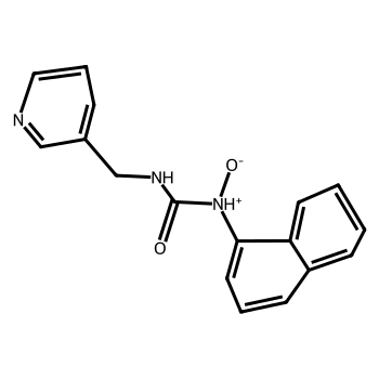 O=C(NCc1cccnc1)[NH+]([O-])c1cccc2ccccc12